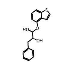 OC(Oc1cccc2sccc12)[C@@H](O)Cc1ccccc1